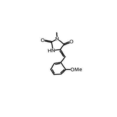 COc1ccccc1C=C1NC(=O)N(C)C1=O